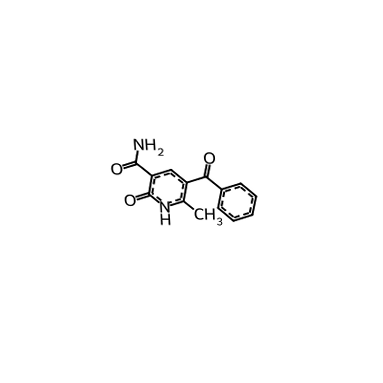 Cc1[nH]c(=O)c(C(N)=O)cc1C(=O)c1ccccc1